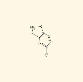 Clc1ccc2c(c1)CN[C]2